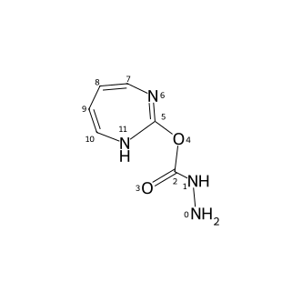 NNC(=O)OC1=NC=CC=CN1